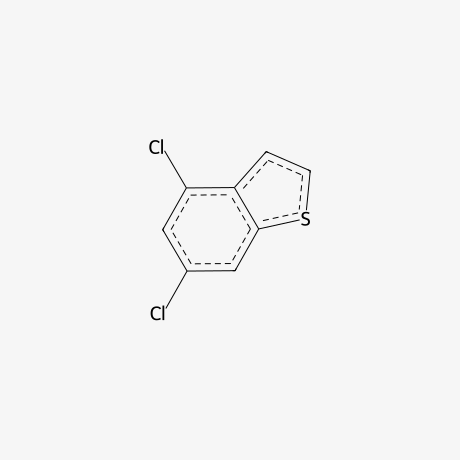 Clc1cc(Cl)c2ccsc2c1